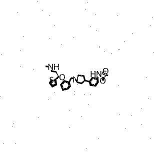 CNCC[C@@H](Oc1ccccc1CN1CCC(c2cccc(NS(C)(=O)=O)c2)CC1)c1cccs1